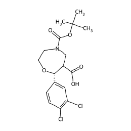 CC(C)(C)OC(=O)N1CCO[C@@H](c2ccc(Cl)c(Cl)c2)C(C(=O)O)C1